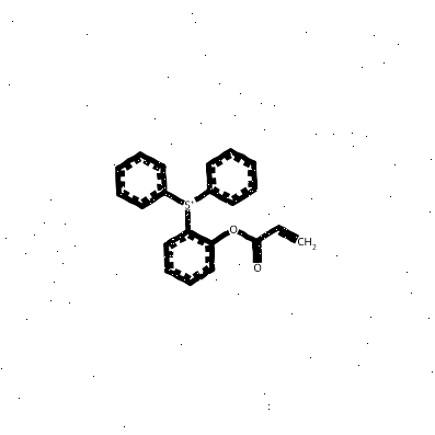 C=CC(=O)Oc1ccccc1[S+](c1ccccc1)c1ccccc1